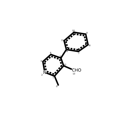 Cc1nccc(-c2ccccc2)c1C=O